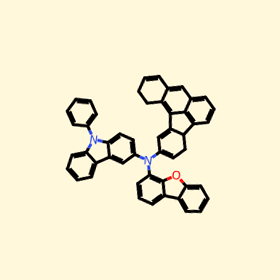 C1=Cc2cc3cccc4c3c(c2CC1)C1=CC(N(c2ccc3c(c2)c2ccccc2n3-c2ccccc2)c2cccc3c2oc2ccccc23)=CCC14